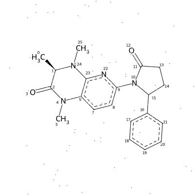 C[C@@H]1C(=O)N(C)c2ccc(N3C(=O)CCC3c3ccccc3)nc2N1C